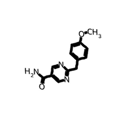 COc1ccc(Cc2ncc(C(N)=O)cn2)cc1